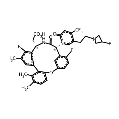 Cc1ccc2c(c1C)-c1cc(C)c(F)c(c1)[C@H](CC(=O)O)NC(=O)[C@H](n1cc(CCN3CC(F)C3)c(C(F)(F)F)cc1=O)c1cc(ccc1F)O2